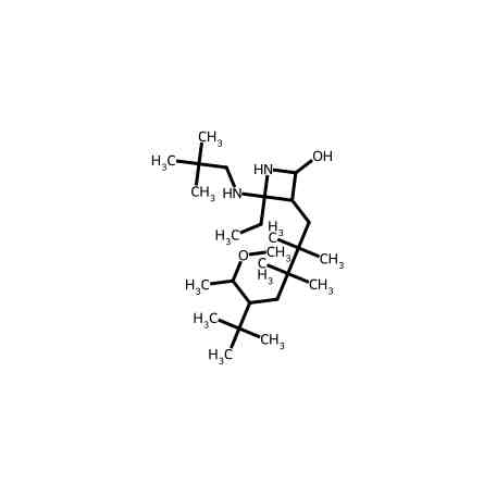 CCC1(NCC(C)(C)C)NC(O)C1CC(C)(C)C(C)(C)CC(C(C)OC)C(C)(C)C